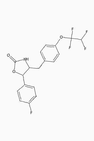 O=C1NC(Cc2ccc(OC(F)(F)C(F)F)cc2)C(c2ccc(F)cc2)O1